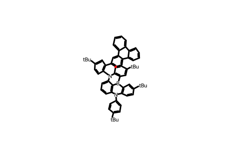 CC(C)(C)c1ccc(N2c3ccc(C(C)(C)C)cc3B3c4cc(C(C)(C)C)ccc4N(c4ccc(C(C)(C)C)cc4-c4ccc5c6ccccc6c6ccccc6c5c4)c4cccc2c43)cc1